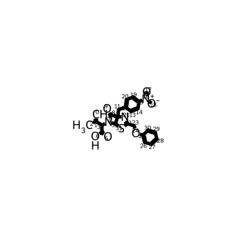 C=C(C)C(C(=O)O)N1C(=O)C2(Cc3ccc([N+](=O)[O-])cc3)N=C(COc3ccccc3)SC12